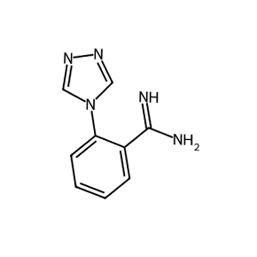 N=C(N)c1ccccc1-n1cnnc1